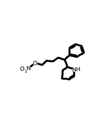 O=[N+]([O-])OCCCCC(c1ccccc1)C1CCC=CN1